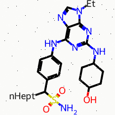 CCCCCCCC(c1ccc(Nc2nc(NC3CCC(O)CC3)nc3c2ncn3CC)cc1)S(N)(=O)=O